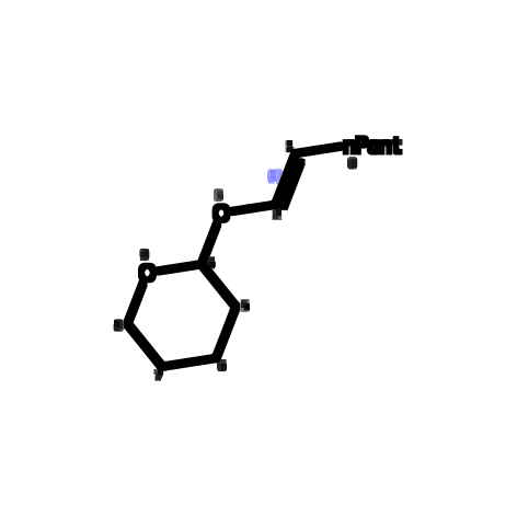 CCCCC/C=C/OC1CCCCO1